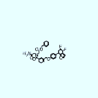 NC(=O)CN(CC(=O)OCc1ccccc1)C(=O)c1cccc(COc2ccc(-c3cc(F)c(F)c4ccoc34)cc2)c1